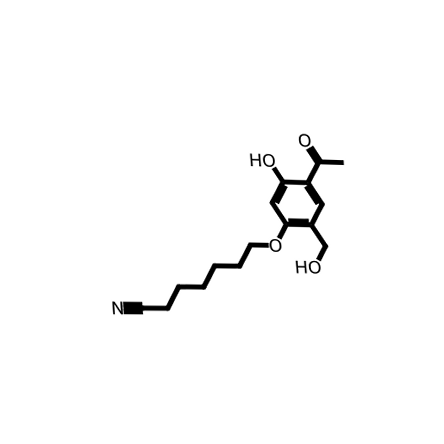 CC(=O)c1cc(CO)c(OCCCCCCC#N)cc1O